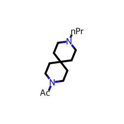 CCCN1CCC2(CC1)CCN(C(C)=O)CC2